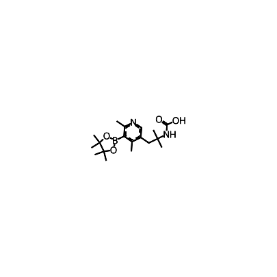 Cc1ncc(CC(C)(C)NC(=O)O)c(C)c1B1OC(C)(C)C(C)(C)O1